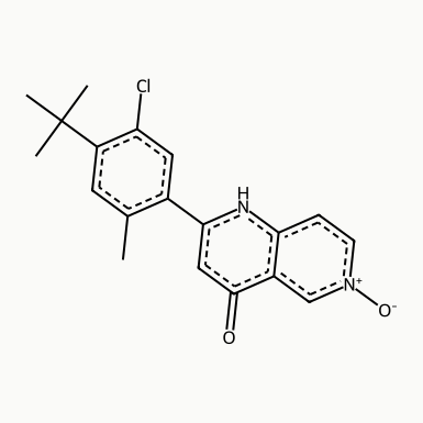 Cc1cc(C(C)(C)C)c(Cl)cc1-c1cc(=O)c2c[n+]([O-])ccc2[nH]1